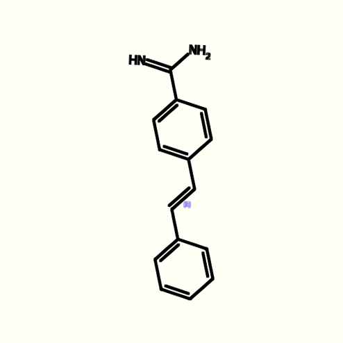 N=C(N)c1ccc(/C=C/c2ccccc2)cc1